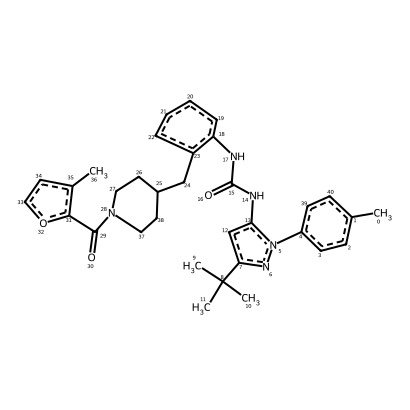 Cc1ccc(-n2nc(C(C)(C)C)cc2NC(=O)Nc2ccccc2CC2CCN(C(=O)c3occc3C)CC2)cc1